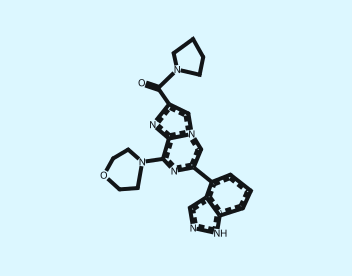 O=C(c1cn2cc(-c3cccc4[nH]ncc34)nc(N3CCOCC3)c2n1)N1CCCC1